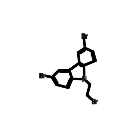 BrCCn1c2ccc(Br)cc2c2cc(Br)ccc21